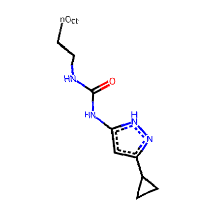 CCCCCCCCCCNC(=O)Nc1cc(C2CC2)n[nH]1